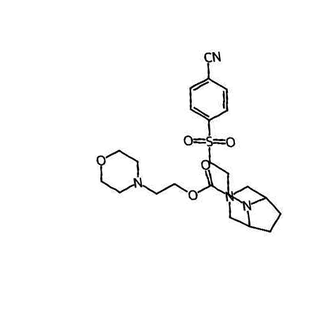 N#Cc1ccc(S(=O)(=O)CCCN2C3CCC2CN(C(=O)OCCN2CCOCC2)C3)cc1